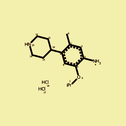 Cc1cc(N)c(OC(C)C)cc1C1CCNCC1.Cl.Cl